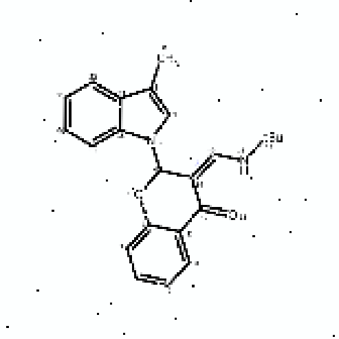 Cc1cn(C2Oc3ccccc3C(=O)/C2=C\NC(C)(C)C)c2ccccc12